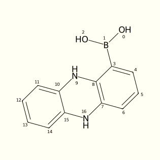 OB(O)c1cccc2c1Nc1ccccc1N2